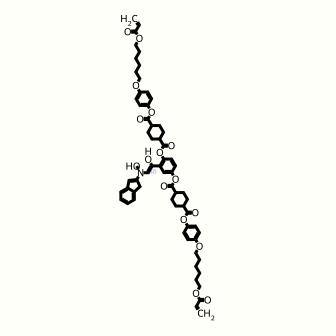 C=CC(=O)OCCCCCCOc1ccc(OC(=O)C2CCC(C(=O)Oc3ccc(OC(=O)C4CCC(C(=O)Oc5ccc(OCCCCCCOC(=O)C=C)cc5)CC4)c(/C(O)=C/N(O)C4=Cc5ccccc5C4)c3)CC2)cc1